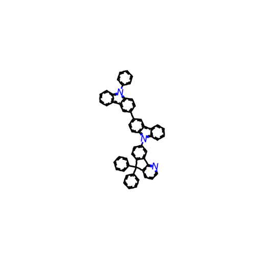 c1ccc(-n2c3ccccc3c3cc(-c4ccc5c(c4)c4ccccc4n5-c4ccc5c(c4)-c4ncccc4C5(c4ccccc4)c4ccccc4)ccc32)cc1